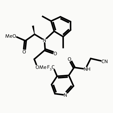 COCC(=O)N(c1c(C)cccc1C)[C@H](C)C(=O)OC.N#CCNC(=O)c1cnccc1C(F)(F)F